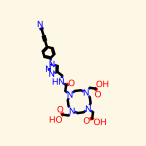 N#CC#Cc1ccc(-n2cc(CNC(=O)CN3CCN(CC(=O)O)CCN(CC(=O)O)CCN(CC(=O)O)CC3)nn2)cc1